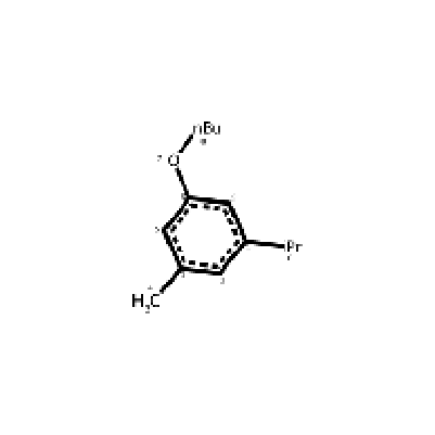 [CH2]C(C)c1cc(C)cc(OCCCC)c1